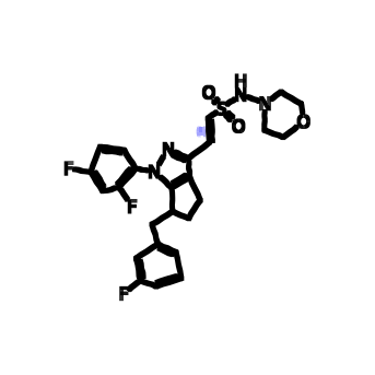 O=S(=O)(/C=C/c1nn(-c2ccc(F)cc2F)c2c1CCC2Cc1cccc(F)c1)NN1CCOCC1